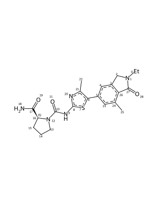 CCN1Cc2cc(-c3sc(NC(=O)N4CCC[C@H]4C(N)=O)nc3C)cc(C)c2C1=O